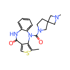 Cc1scc2c1N(C(=O)N1CCC3(CN(C)C3)C1)c1ccccc1NC2=O